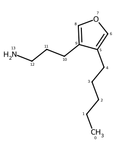 CCCCCc1cocc1CCCN